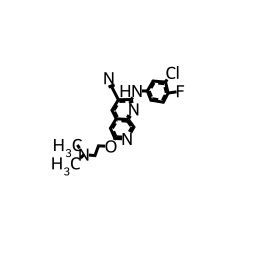 CN(C)CCOc1cc2cc(C#N)c(Nc3ccc(F)c(Cl)c3)nc2cn1